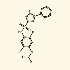 O=S(=O)(Nc1cc(F)c(OC(F)F)cc1F)c1c[nH]c(-c2ccccc2)c1